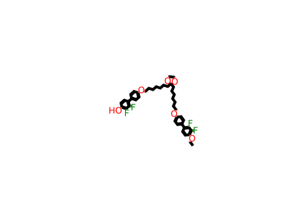 CCOc1ccc(-c2ccc(OCCCCCCCC3(CCCCCCCOc4ccc(-c5ccc(O)c(F)c5F)cc4)OCCO3)cc2)c(F)c1F